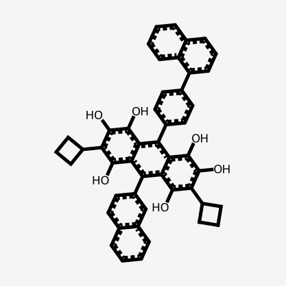 Oc1c(C2CCC2)c(O)c2c(-c3ccc4ccccc4c3)c3c(O)c(C4CCC4)c(O)c(O)c3c(-c3ccc(-c4cccc5ccccc45)cc3)c2c1O